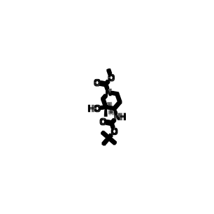 COC(=O)N1CC[C@@H](NC(=O)OC(C)(C)C)[C@](C)(O)C1